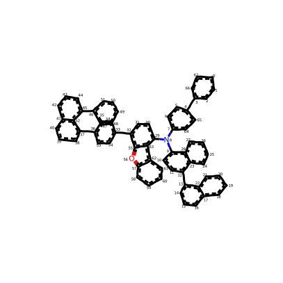 c1ccc(-c2ccc(N(c3ccc(-c4cccc5ccccc45)c4ccccc34)c3ccc(-c4ccc(-c5cccc6cccc(-c7ccccc7)c56)cc4)c4oc5ccccc5c34)cc2)cc1